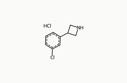 Cl.Clc1cccc(C2CNC2)c1